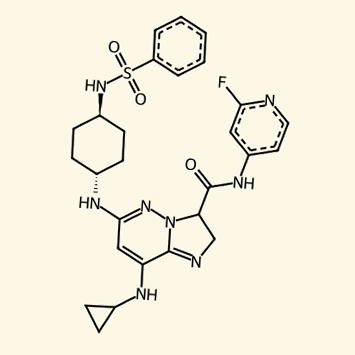 O=C(Nc1ccnc(F)c1)C1CN=C2C(NC3CC3)=CC(N[C@H]3CC[C@H](NS(=O)(=O)c4ccccc4)CC3)=NN21